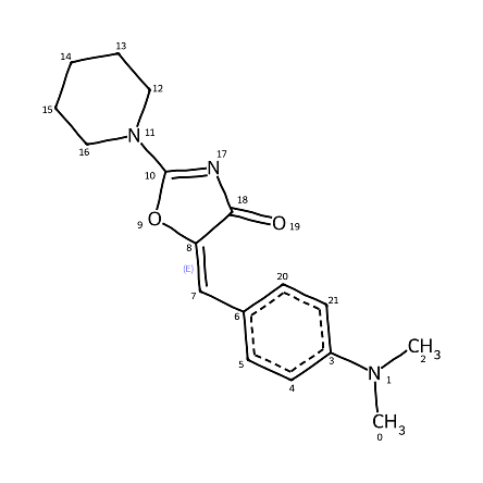 CN(C)c1ccc(/C=C2/OC(N3CCCCC3)=NC2=O)cc1